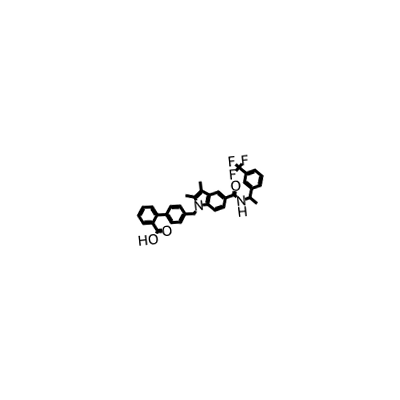 Cc1c(C)n(Cc2ccc(-c3ccccc3C(=O)O)cc2)c2ccc(C(=O)NC(C)c3cccc(C(F)(F)F)c3)cc12